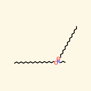 CCCCCCCCCCCCCCCCCCON(CCC)OCCCCCCCCCCCCCCCC